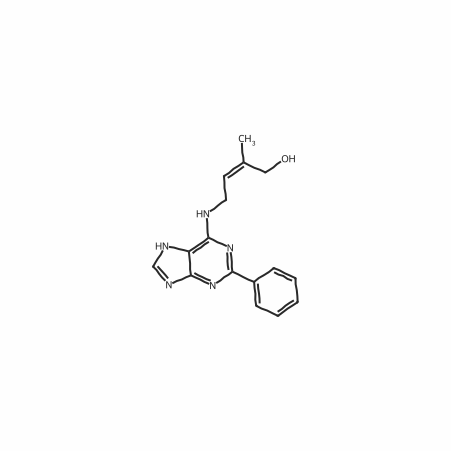 CC(=CCNc1nc(-c2ccccc2)nc2nc[nH]c12)CO